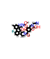 COC(=O)NCCCC(O)(c1cccc(F)c1-c1cccc(C)c1)[C@@H]1CCCN(C(=O)c2ccc(CN(CC#N)C(=O)O)cc2)C1